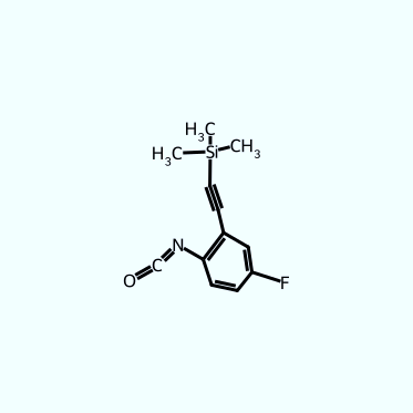 C[Si](C)(C)C#Cc1cc(F)ccc1N=C=O